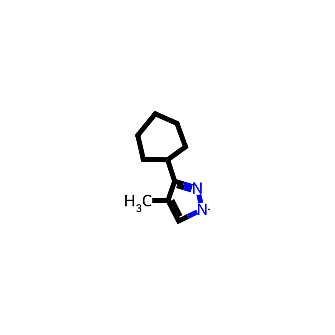 CC1=C[N]N=C1C1CCCCC1